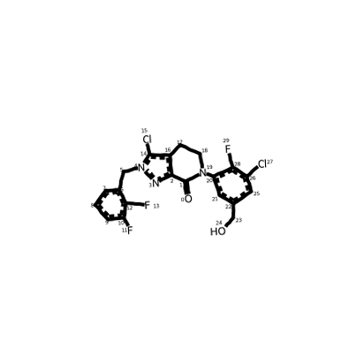 O=C1c2nn(Cc3cccc(F)c3F)c(Cl)c2CCN1c1cc(CO)cc(Cl)c1F